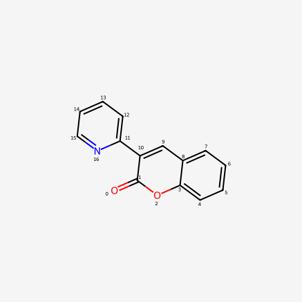 O=c1oc2ccccc2cc1-c1ccccn1